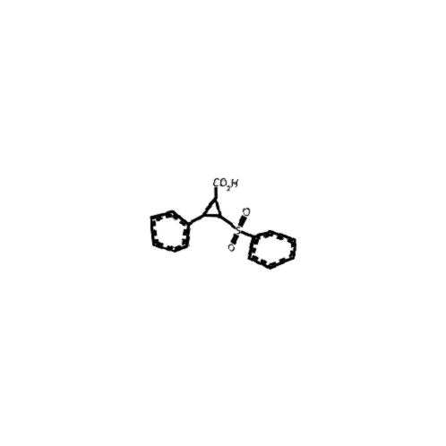 O=C(O)C1C(c2ccccc2)C1S(=O)(=O)c1ccccc1